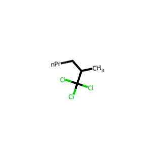 CCCC[C](C)C(Cl)(Cl)Cl